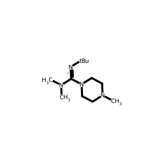 CN1CCN(/C(=N\C(C)(C)C)N(C)C)CC1